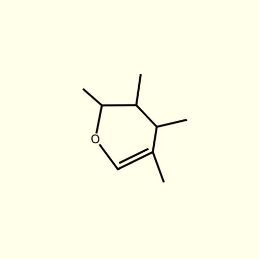 CC1=COC(C)C(C)C1C